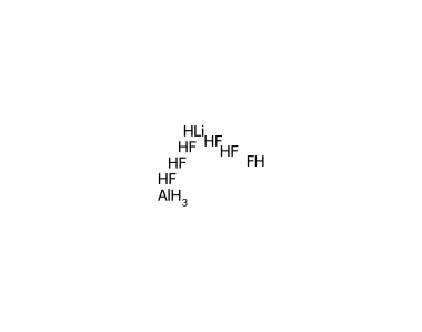 F.F.F.F.F.F.[AlH3].[LiH]